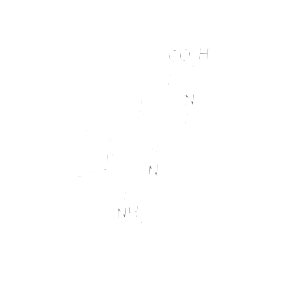 Nc1nc2cnc(C(=O)O)cc2c2c1CCC2